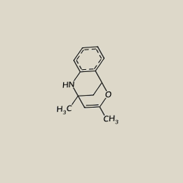 CC1=CC2(C)CC(O1)c1ccccc1N2